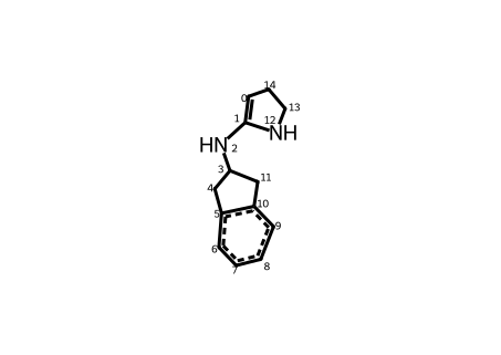 C1=C(NC2Cc3ccccc3C2)NCC1